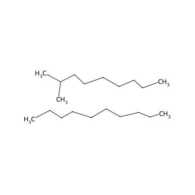 CCCCCCCC(C)C.CCCCCCCCCC